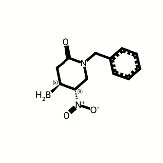 B[C@H]1CC(=O)N(Cc2ccccc2)C[C@@H]1[N+](=O)[O-]